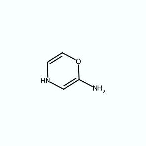 NC1=CNC=CO1